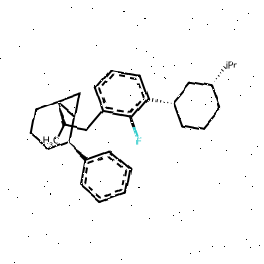 CC(C)[C@@H]1CCC[C@H](c2cccc(CC(C)[C@]34CCC[C@H](c5ccccc5)C3C4)c2F)C1